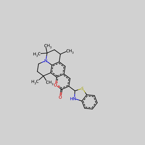 CC1CC(C)(C)N2CCC(C)(C)c3c2c1cc1cc(C2Nc4ccccc4S2)c(=O)oc31